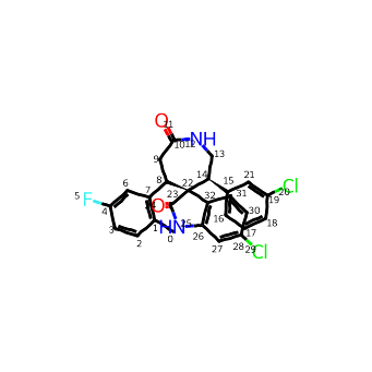 Cc1ccc(F)cc1C1CC(=O)NC[C@@H](c2cccc(Cl)c2)[C@]12C(=O)Nc1cc(Cl)ccc12